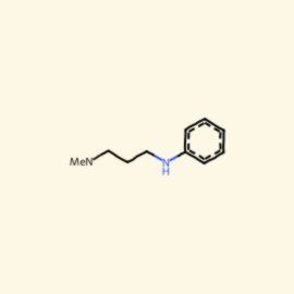 CNCCCNc1ccccc1